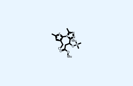 Cc1cc(CCl)c(-n2c(C)nnc2C(CC(=O)OC(C)(C)C)O[Si](C)(C)C(C)(C)C)s1